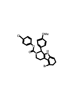 COc1ccc(C2c3[nH]c4c(c3CCN2C(=O)Oc2ccc(Cl)cc2)=C(Br)CCC=4)cc1